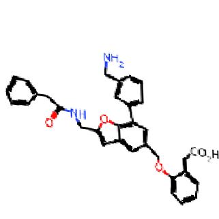 NCc1cccc(-c2cc(COc3ccccc3CC(=O)O)cc3cc(CNC(=O)Cc4ccccc4)oc23)c1